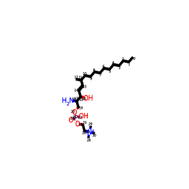 CCCCCCCCCCCC(C)C=CC(O)C(N)COP(=O)(O)OCC[N+](C)(C)C